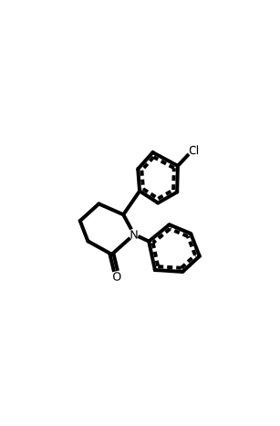 O=C1CCCC(c2ccc(Cl)cc2)N1c1ccccc1